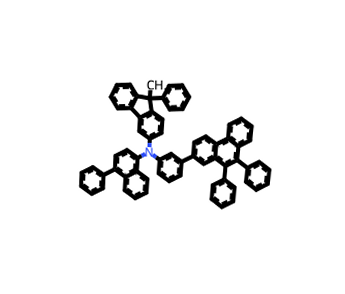 CC1(c2ccccc2)c2ccccc2-c2cc(N(c3cccc(-c4ccc5c(c4)c(-c4ccccc4)c(-c4ccccc4)c4ccccc45)c3)c3ccc(-c4ccccc4)c4ccccc34)ccc21